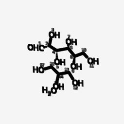 O.O=C[C@H](O)[C@@H](O)[C@H](O)[C@H](O)CO.OCC(O)CO